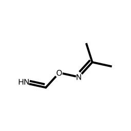 CC(C)=NOC=N